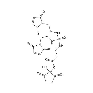 O=C(CCNP(=O)(NCCN1C(=O)C=CC1=O)NCCN1C(=O)C=CC1=O)O[N+]1(O)C(=O)CCC1=O